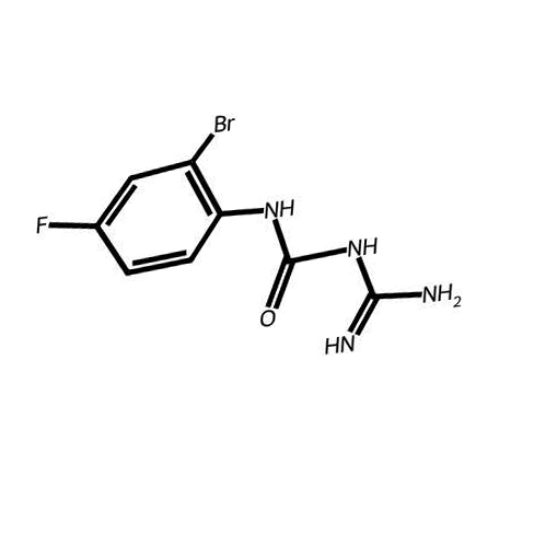 N=C(N)NC(=O)Nc1ccc(F)cc1Br